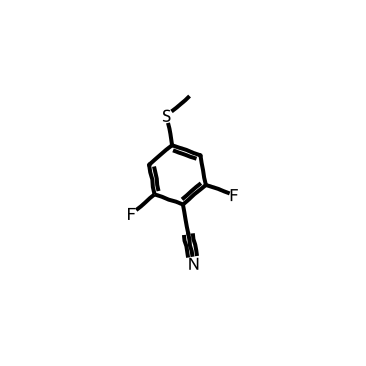 CSc1cc(F)c(C#N)c(F)c1